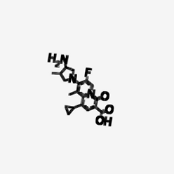 Cc1c(N2CC(C)C(N)C2)c(F)cn2c(=O)c(C(=O)O)cc(C3CC3)c12